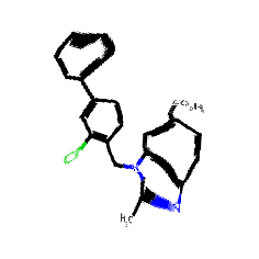 Cc1nc2ccc(C(=O)O)cc2n1Cc1ccc(-c2ccccc2)cc1Cl